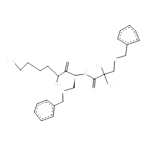 CC(C)(CSCc1ccccc1)C(=O)N[C@@H](CSCc1ccccc1)C(=O)C(N)CCCCN